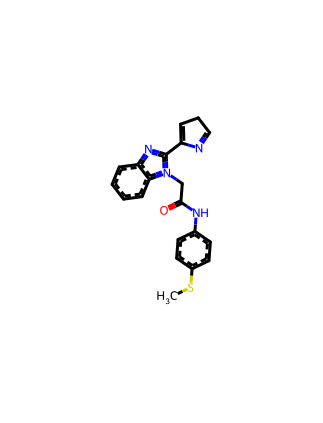 CSc1ccc(NC(=O)Cn2c(C3=CCC=N3)nc3ccccc32)cc1